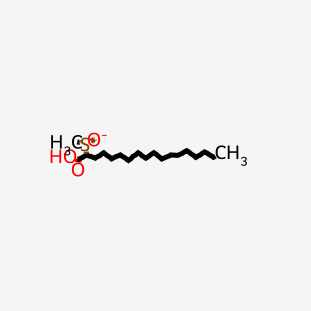 CCCCCCCCCCCCCCCCC(C(=O)O)[S+](C)[O-]